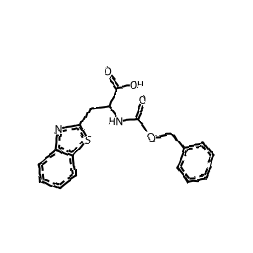 O=C(NC(Cc1nc2ccccc2s1)C(=O)O)OCc1ccccc1